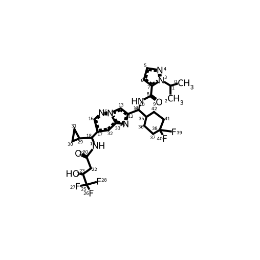 CC(C)n1nccc1C(=O)N[C@H](c1cn2ncc(C(NC(=O)CC(O)C(F)(F)F)C3CC3)cc2n1)C1CCC(F)(F)CC1